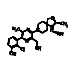 Cc1nc(N2CCC3(CC2)CO[C@@H](C)[Si@H]3C=N)c(CO)nc1-c1cccc(C#N)c1Cl